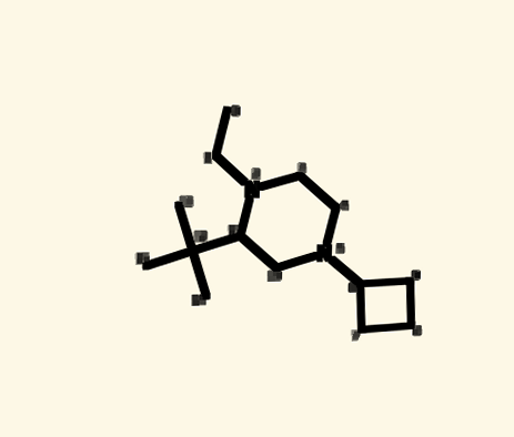 CCN1CCN(C2CCC2)CC1C(C)(C)C